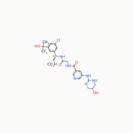 CC(O)(c1cc(Cl)cc([C@H](CC(=O)O)NC(=O)CNC(=O)c2cncc(NC3=NCC(O)CN3)c2)c1)C(F)(F)F